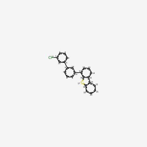 Clc1cccc(-c2cccc(-c3cccc4c3sc3ccccc34)c2)c1